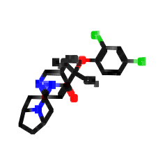 CC(C)(Oc1ccc(Cl)cc1Cl)C(=O)NC1CC2CCC(C1)N2c1ccc([N+](=O)[O-])cn1